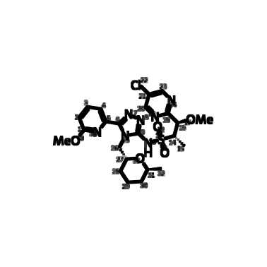 COc1cccc(-c2nnc(NS(=O)(=O)[C@@H](C)[C@H](OC)c3ncc(Cl)cn3)n2C[C@H]2CCC[C@H](C)O2)n1